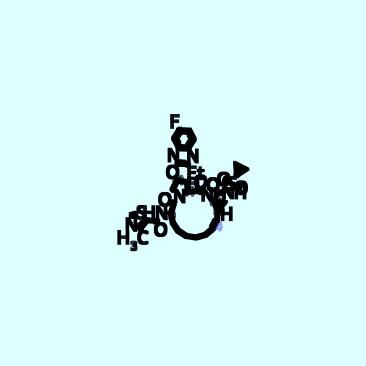 CCc1nc2ccc(F)cc2nc1O[C@@H]1C[C@H]2C(=O)N[C@]3(C(=O)NS(=O)(=O)C4CC4)C[C@H]3/C=C\CCCCC[C@H](NC(=O)c3scnc3C)C(=O)N2C1